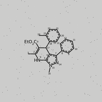 CCOC(=O)C1=C(C)Nc2c(c(-c3ccccc3)nn2C)C1c1ccccc1C